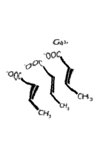 C/C=C/C(=O)[O-].C/C=C/C(=O)[O-].C/C=C/C(=O)[O-].[Ga+3]